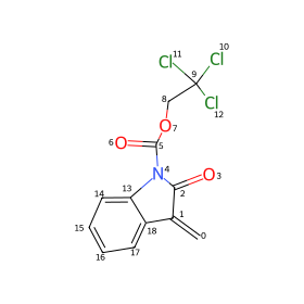 C=C1C(=O)N(C(=O)OCC(Cl)(Cl)Cl)c2ccccc21